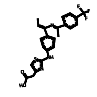 C/C=C(\N=C(/C)c1ccc(C(F)(F)F)cc1)c1ccc(Nc2nc(CC(=O)O)cs2)cc1